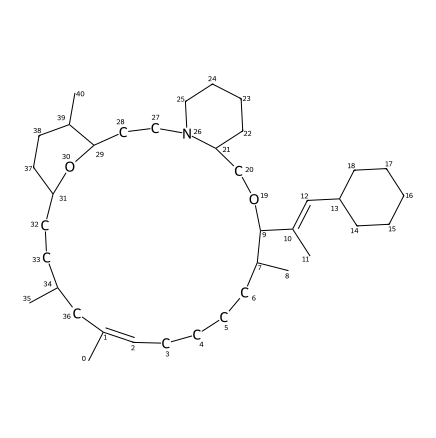 C/C1=C/CCCCC(C)C(/C(C)=C/C2CCCCC2)OCC2CCCCN2CCC2OC(CCC(C)C1)CCC2C